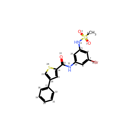 CS(=O)(=O)Nc1cc(Br)cc(NC(=O)c2cc(-c3ccccc3)cs2)c1